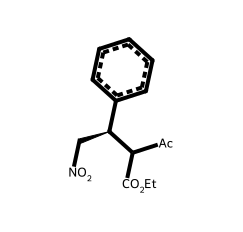 CCOC(=O)C(C(C)=O)[C@@H](C[N+](=O)[O-])c1ccccc1